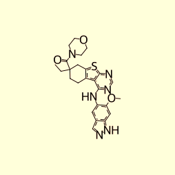 CCC1(C(=O)N2CCOCC2)CCc2c(sc3ncnc(Nc4cc5cn[nH]c5cc4OC)c23)C1